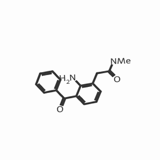 CNC(=O)Cc1cccc(C(=O)c2ccccc2)c1N